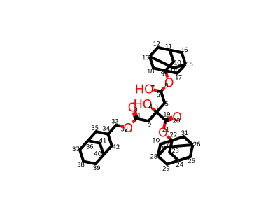 O=C(CC(O)(CC(O)OC12CC3CC(CC(C3)C1)C2)C(=O)OC12CC3CC(CC(C3)C1)C2)OCC1CC2CCCC(C2)C1